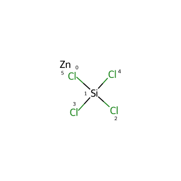 Cl[Si](Cl)(Cl)Cl.[Zn]